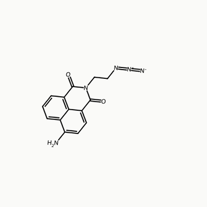 [N-]=[N+]=NCCN1C(=O)c2cccc3c(N)ccc(c23)C1=O